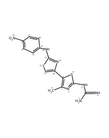 Cc1nc(NC(=N)N)sc1-c1csc(Nc2ccc([N+](=O)[O-])cc2)n1